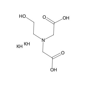 O=C(O)CN(CCO)CC(=O)O.[KH].[KH]